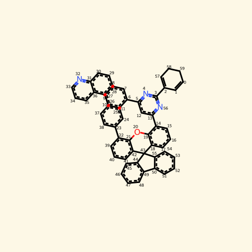 C1=CC(c2nc(-c3ccccc3)cc(-c3cccc4c3Oc3c(-c5ccc(-c6cccc7ncccc67)cc5)cccc3C43c4ccccc4-c4ccccc43)n2)=CCC1